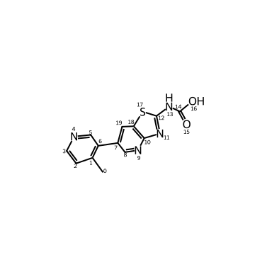 Cc1ccncc1-c1cnc2nc(NC(=O)O)sc2c1